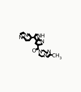 Cc1cn2c(n1)CN(C(=O)c1cnc3[nH]cc(-c4ccc5nccn5c4)c3c1)CC2